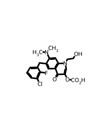 CN(C)c1cc2c(cc1Cc1cccc(Cl)c1F)c(=O)c(OC(=O)O)cn2CCO